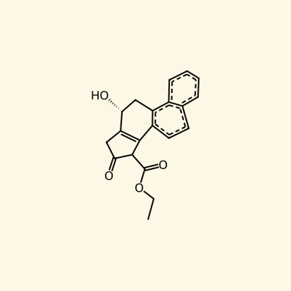 CCOC(=O)C1C(=O)CC2=C1c1ccc3ccccc3c1C[C@H]2O